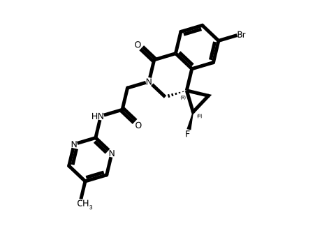 Cc1cnc(NC(=O)CN2C[C@@]3(C[C@H]3F)c3cc(Br)ccc3C2=O)nc1